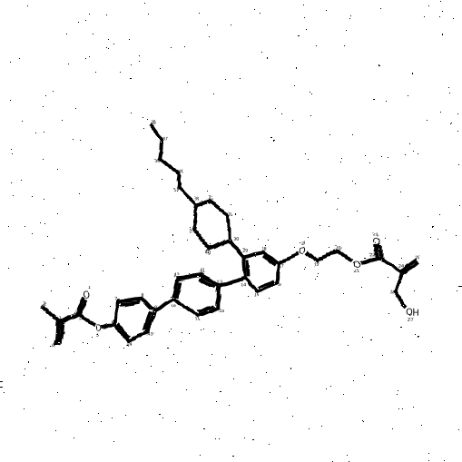 C=C(C)C(=O)Oc1ccc(-c2ccc(-c3ccc(OCCOC(=O)C(=C)CO)cc3C3CCC(CCCCC)CC3)cc2)cc1